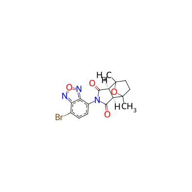 CC12CCC(C)(O1)[C@H]1C(=O)N(c3ccc(Br)c4nonc34)C(=O)[C@H]12